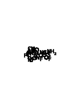 N#Cc1c(N)sc2c(F)ccc(-c3c(Cl)cc4c(N5CCCC6(CCN6C(=O)n6nccc6C#N)C5)nc(OC[C@@]56CCCN5CC(=C(F)F)C6)nc4c3F)c12